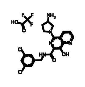 NC1CCN(c2nc(C(=O)NCc3cc(Cl)cc(Cl)c3)c(O)c3ncccc23)C1.O=C(O)C(F)(F)F